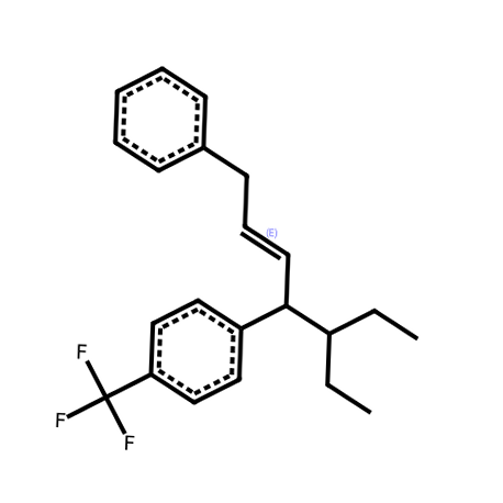 CCC(CC)C(/C=C/Cc1ccccc1)c1ccc(C(F)(F)F)cc1